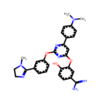 CN1CCN=C1c1cccc(Oc2nc(Oc3cc(C(=N)N)ccc3O)cc(-c3ccc(N(C)C)cc3)n2)c1